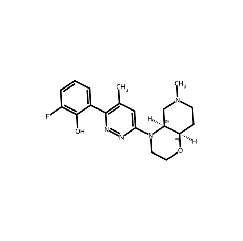 Cc1cc(N2CCO[C@@H]3CCN(C)C[C@@H]32)nnc1-c1cccc(F)c1O